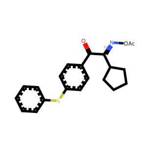 CC(=O)O/N=C(/C(=O)c1ccc(Sc2ccccc2)cc1)C1CCCC1